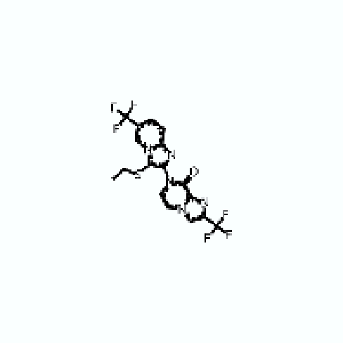 CCSc1c(-n2ccn3cc(C(F)(F)F)nc3c2=O)nc2ccc(C(F)(F)F)cn12